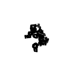 CC(C(=O)NCc1cc(C(F)(F)F)nn1-c1cccc(Cl)c1)c1cn(C)c2ccc(O)cc12